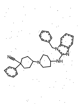 N#CC1(c2ccccc2)CCC(N2CCC(Nc3nc4ccccc4n3Cc3ccccc3)CC2)CC1